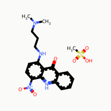 CN(C)CCCNc1ccc([N+](=O)[O-])c2[nH]c3ccccc3c(=O)c12.CS(=O)(=O)O